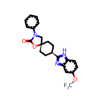 O=C1O[C@]2(CC[C@H](c3nc4cc(OC(F)(F)F)ccc4[nH]3)CC2)CN1c1ccccc1